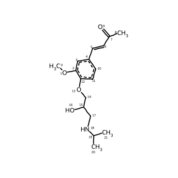 COc1cc(C=CC(C)=O)ccc1OCC(O)CNC(C)C